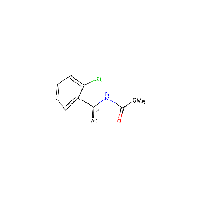 COC(=O)N[C@@H](C(C)=O)c1ccccc1Cl